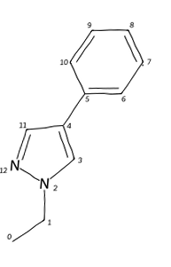 CCn1cc(-c2c[c]ccc2)cn1